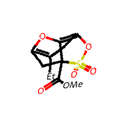 CCc1c2oc3c1OS(=O)(=O)C3(C(=O)OC)C2